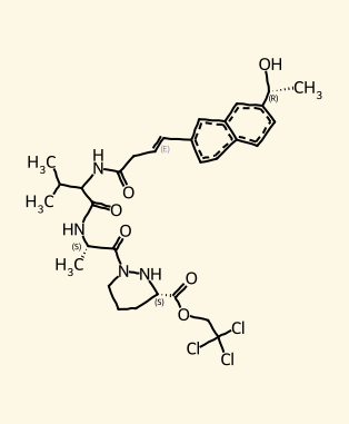 CC(C)C(NC(=O)C/C=C/c1ccc2ccc([C@@H](C)O)cc2c1)C(=O)N[C@@H](C)C(=O)N1CCC[C@@H](C(=O)OCC(Cl)(Cl)Cl)N1